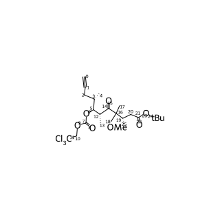 C#CC[C@H](C)[C@H](OC(=O)OCC(Cl)(Cl)Cl)[C@@H](C)C(=O)C(C)(C)[C@H](CC(=O)OC(C)(C)C)OC